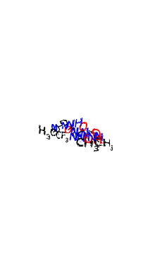 Cc1noc(CN2C(=O)c3c(ncn3CC(=O)Nc3cccc(-c4cnc(C)c(C(F)(F)F)c4)n3)N(C)C2O)n1